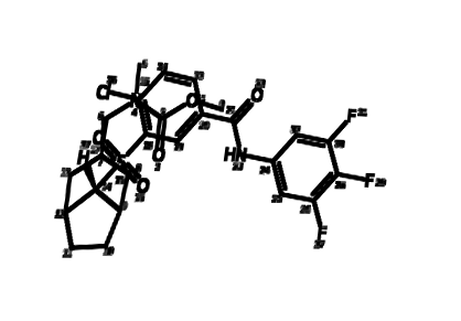 COC(=O)N(C)C[C@H]1CC2CCC(C1)[C@@H]2S(=O)(=O)c1cc(C(=O)Nc2cc(F)c(F)c(F)c2)ccc1Cl